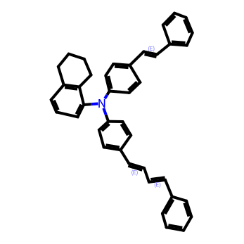 C(/C=C/c1ccc(N(c2ccc(/C=C/c3ccccc3)cc2)c2cccc3c2CCCC3)cc1)=C\c1ccccc1